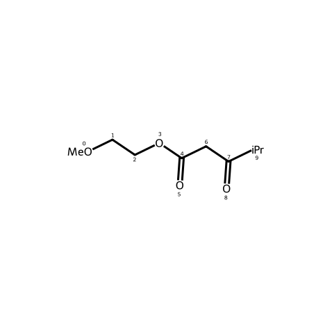 COCCOC(=O)CC(=O)C(C)C